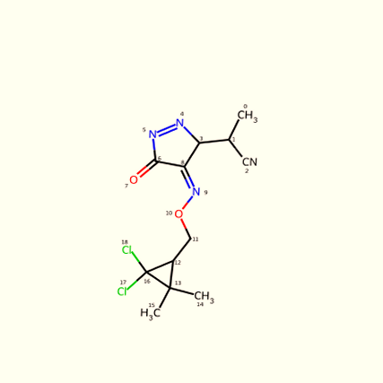 CC(C#N)C1N=NC(=O)C1=NOCC1C(C)(C)C1(Cl)Cl